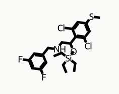 CC[Si](CC)(CC)OC(CNCc1cc(F)cc(F)c1)c1c(Cl)cc(SC)cc1Cl